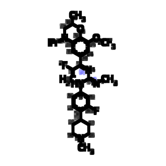 C=C(F)/C(=N\C(=N/C)Nc1ccc(C2CCN(C)CC2)c(F)c1)c1cc(OC(F)(F)F)c2c(c1)N(C(C)C)CC(C)O2